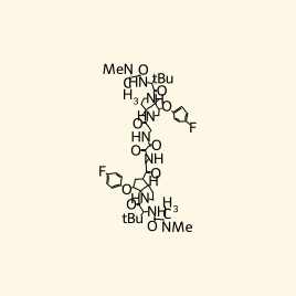 CN[C@@H](C)C(=O)N[C@H](C(=O)N1CC[C@@H]2[C@H]1[C@@H](Oc1ccc(F)cc1)CN2C(=O)CNC(=O)C(=O)NCC(=O)C1C[C@H](Oc2ccc(F)cc2)[C@@H]2[C@H]1CCN2C(=O)[C@@H](NC(=O)[C@H](C)NC)C(C)(C)C)C(C)(C)C